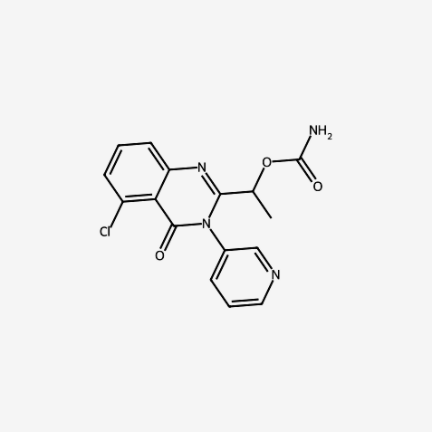 CC(OC(N)=O)c1nc2cccc(Cl)c2c(=O)n1-c1cccnc1